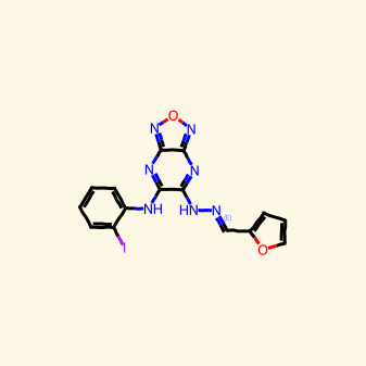 Ic1ccccc1Nc1nc2nonc2nc1N/N=C/c1ccco1